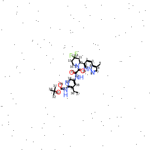 C=C(/C=C\c1[nH]ncc1C)[C@@H]1CC(F)(F)CCN1C(=O)C(=O)Nc1cnc(NC(=O)OC(C)(C)C)c(CC)c1